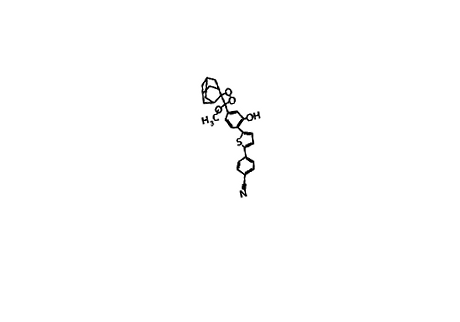 COC1(c2ccc(-c3ccc(-c4ccc(C#N)cc4)s3)c(O)c2)OOC12C1CC3CC(C1)CC2C3